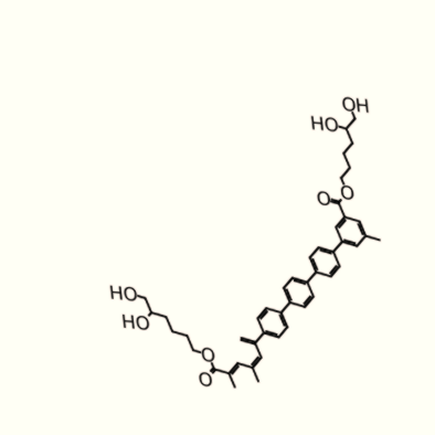 C=C(/C=C(C)\C=C(/C)C(=O)OCCCCC(O)CO)c1ccc(-c2ccc(-c3ccc(-c4cc(C)cc(C(=O)OCCCCC(O)CO)c4)cc3)cc2)cc1